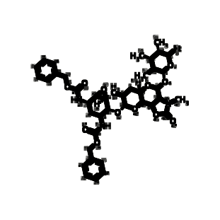 CCC1O[C@H](OC2O[C@H]3CC(C)[C@@H](O[C@@H]4C(NC(=O)OCc5ccccc5)C[C@@H](NC(=O)OCc5ccccc5)C5O[C@H]54)OC3C3OC(=O)N(C)C23)C(C)[C@@H](C)[C@@H]1C